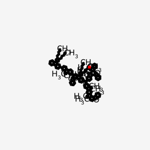 CCCCCCCC1(CCCCCCC)c2ccccc2-c2ccc(-c3ccc4c(c3)C(C)(C)c3cc(-c5cc6c(c7c5oc5ccccc57)-c5ccc(N(c7ccc8c(c7)C(C)(C)c7cc9c(cc7-8)C(C)(C)c7ccc8oc%10ccccc%10c8c7-9)c7ccc8c(c7)C(C)(C)c7c9c(c%10oc%11ccccc%11c%10c7-8)-c7ccccc7C9(C)C)cc5C6(CCCCCCC)CCCCCCC)ccc3-4)cc21